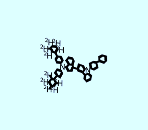 [2H]c1c([2H])c([2H])c(-c2ccc(N(c3ccc(-c4c([2H])c([2H])c([2H])c([2H])c4[2H])cc3)c3ccc(-c4ccc5c(c4)c4ccccc4n5-c4ccc(-c5ccccc5)cc4)c4ccccc34)cc2)c([2H])c1[2H]